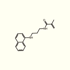 C=C(C)C(=O)NCCCNc1cccc2ccccc12